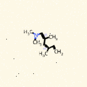 C=C/C(C)=C\C(C)=C/N(C)C